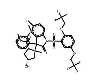 CNC(=O)[C@@H]1C[C@@H](O)C[N+]1(C)C1(c2ccccc2OC)C(=O)N(S(=O)(=O)c2cc(OCC(F)(F)F)ccc2OCC(F)(F)F)c2ccc(Cl)cc21